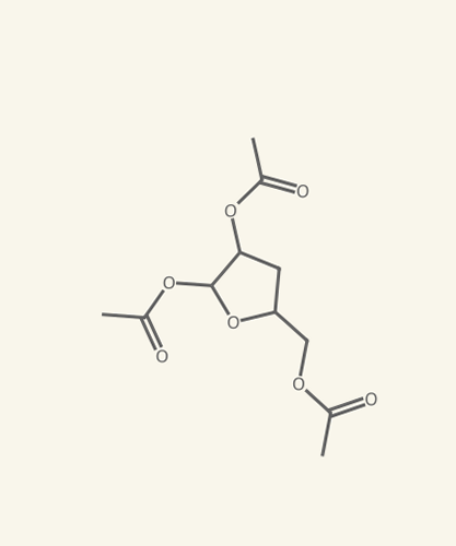 CC(=O)OCC1CC(OC(C)=O)C(OC(C)=O)O1